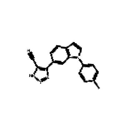 Cc1ccc(-n2ccc3ccc(-c4nn[nH]c4C#N)cc32)cc1